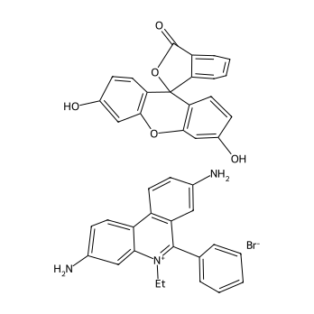 CC[n+]1c(-c2ccccc2)c2cc(N)ccc2c2ccc(N)cc21.O=C1OC2(c3ccc(O)cc3Oc3cc(O)ccc32)c2ccccc21.[Br-]